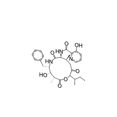 CCC(C)C1OC(=O)[C@H](C)[C@H](O)[C@H](Cc2ccccc2)NC(=O)[C@@H](NC(=O)c2ncccc2O)[C@@H](C)CC1=O